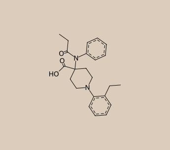 CCC(=O)N(c1ccccc1)C1(C(=O)O)CCN(c2ccccc2CC)CC1